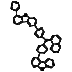 c1ccc(-c2cccc3c2oc2ccc(-c4ccc(N(c5ccc(-c6cccc7oc8ccccc8c67)cc5)c5cccc6ccccc56)cc4)cc23)cc1